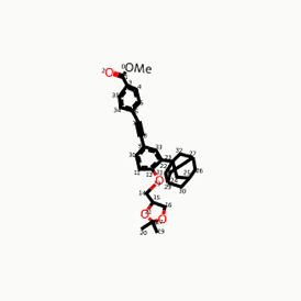 COC(=O)c1ccc(C#Cc2ccc(OCC3COC(C)(C)O3)c(C34CC5CC(CC(C5)C3)C4)c2)cc1